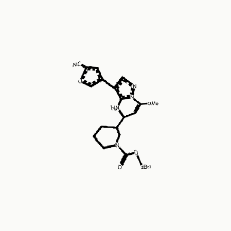 COC1=CC(C2CCCN(C(=O)OC(C)(C)C)C2)Nc2c(-c3coc(C#N)c3)cnn21